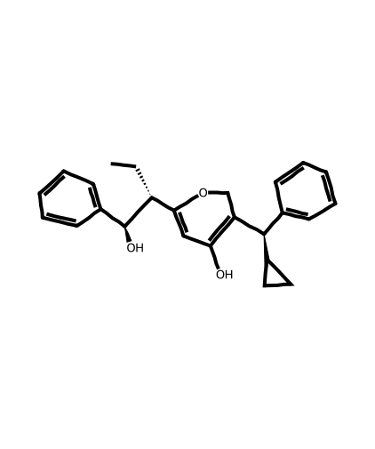 CC[C@H](C1=CC(O)=C([C@@H](c2ccccc2)C2CC2)CO1)[C@@H](O)c1ccccc1